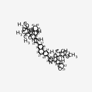 COC(=O)N[C@H](C(=O)N1C[C@]2(CCCOC2)C[C@H]1c1ncc(-c2ccc3c(ccc4cc(-c5cnc([C@@H]6C[C@@H]7CCCC[C@@H]7N6C(=O)[C@@H](NC(=O)OC)C(C)C)[nH]5)ccc43)c2)[nH]1)C(C)C